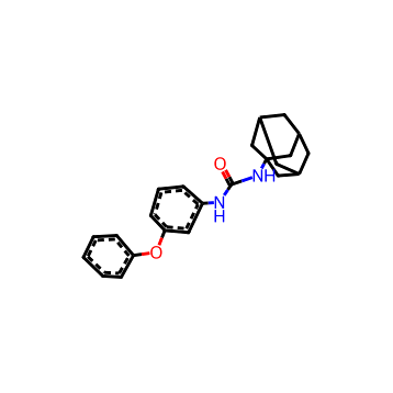 O=C(Nc1cccc(Oc2ccccc2)c1)NC12CC3CC(CC(C3)C1)C2